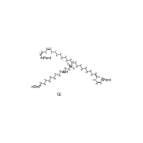 CCCCC/C=C\C/C=C\CCCCCCCCC(CCCCCCCC/C=C\C/C=C\CCCCC)[N+](C)(C)CCNCCCCCCCCCCCCCCCCCCC.[Cl-]